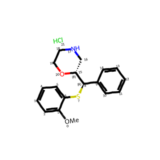 COc1ccccc1S[C@H](c1ccccc1)[C@H]1CNCCO1.Cl